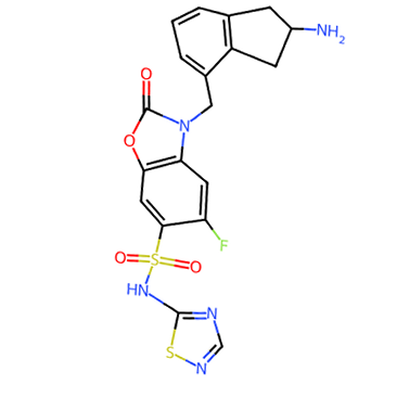 NC1Cc2cccc(Cn3c(=O)oc4cc(S(=O)(=O)Nc5ncns5)c(F)cc43)c2C1